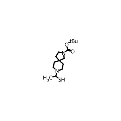 CC(S)N1CCC2(CCN(C(=O)OC(C)(C)C)C2)CC1